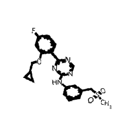 CS(=O)(=O)Cc1cccc(Nc2ncnc(-c3ccc(F)cc3OCC3CC3)n2)c1